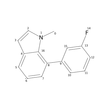 Cn1ccc2c[c]cc(-c3cccc(F)c3)c21